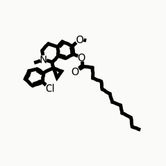 CCCCCCCCCCCC(=O)Oc1cc2c(cc1OC)CCN(C)C2C1(c2ccccc2Cl)CC1